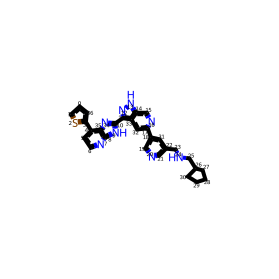 c1csc(-c2ccnc3[nH]c(-c4n[nH]c5cnc(-c6cncc(CNCC7CCCC7)c6)cc45)nc23)c1